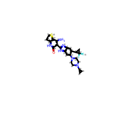 Nc1c(-c2nc3cc(C4CC4(F)F)c(N4CCN(C5CC5)CC4)cc3[nH]2)c(=O)[nH]c2ccsc12